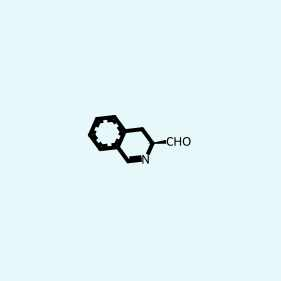 O=C[C@@H]1Cc2ccccc2C=N1